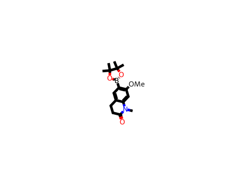 COc1cc2c(cc1B1OC(C)(C)C(C)(C)O1)CCC(=O)N2C